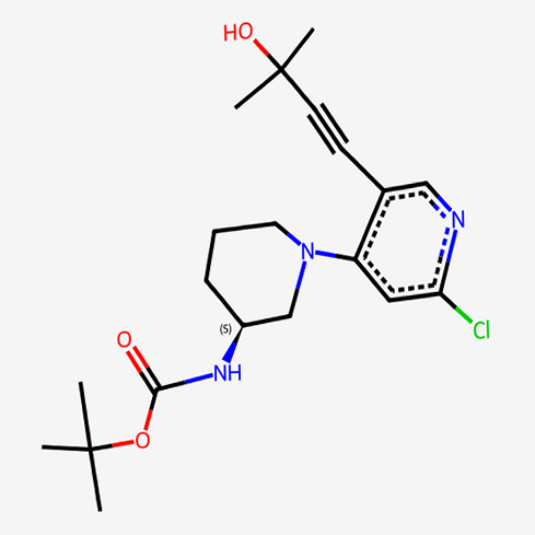 CC(C)(O)C#Cc1cnc(Cl)cc1N1CCC[C@H](NC(=O)OC(C)(C)C)C1